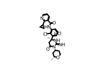 C[C@@H]1C[C@H](N2C(=N)N[C@](C)(c3cccc(NC(=O)c4cccnc4C4CC4)c3Cl)CC2=O)CCO1.Cl